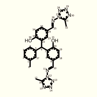 Cc1cccc(C(c2cc(C=Nn3nnnc3C)ccc2O)c2cc(C=Nn3nnnc3C)ccc2O)c1